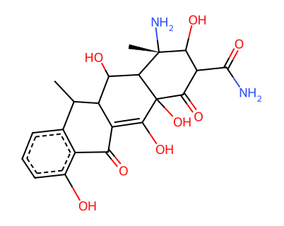 CC1c2cccc(O)c2C(=O)C2=C(O)C3(O)C(=O)C(C(N)=O)C(O)[C@@](C)(N)C3C(O)C21